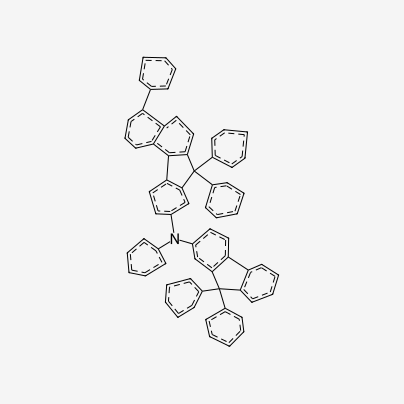 c1ccc(-c2cccc3c4c(ccc23)C(c2ccccc2)(c2ccccc2)c2cc(N(c3ccccc3)c3ccc5c(c3)C(c3ccccc3)(c3ccccc3)c3ccccc3-5)ccc2-4)cc1